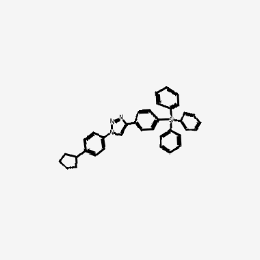 c1ccc([Si](c2ccccc2)(c2ccccc2)c2ccc(-c3cn(-c4ccc(C5CCCC5)cc4)nn3)cc2)cc1